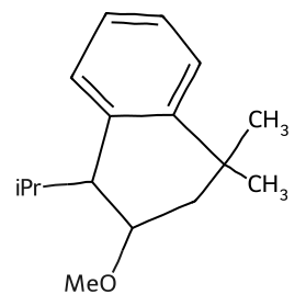 COC1CC(C)(C)c2ccccc2C1C(C)C